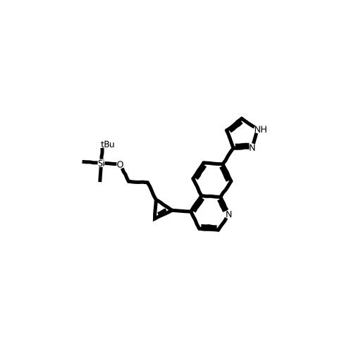 CC(C)(C)[Si](C)(C)OCCC1C=C1c1ccnc2cc(-c3cc[nH]n3)ccc12